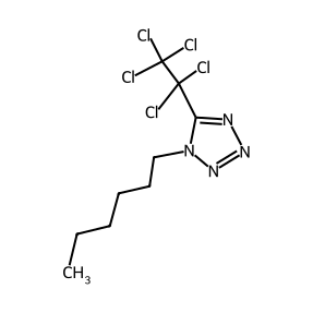 CCCCCCn1nnnc1C(Cl)(Cl)C(Cl)(Cl)Cl